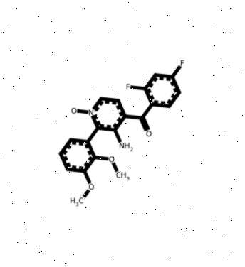 COc1cccc(-c2c(N)c(C(=O)c3ccc(F)cc3F)cc[n+]2[O-])c1OC